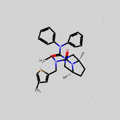 CCN(Cc1cc(C)cs1)C(=O)N1[C@@H]2CC[C@H]1CN(C(=O)N(c1ccccc1)c1ccccc1)C2